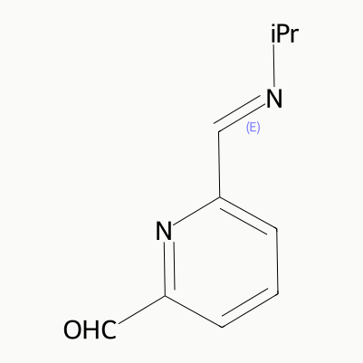 CC(C)/N=C/c1cccc(C=O)n1